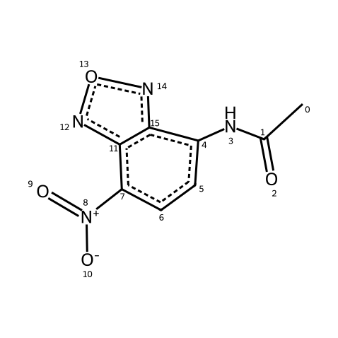 CC(=O)Nc1ccc([N+](=O)[O-])c2nonc12